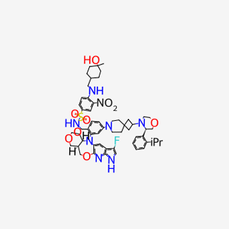 CC(C)c1ccccc1[C@@H]1COCCN1C1CC2(CCN(c3ccc(C(=O)NS(=O)(=O)c4ccc(NCC5CCC(C)(O)CC5)c([N+](=O)[O-])c4)c(N4c5cc6c(F)c[nH]c6nc5OC[C@H]5COCC[C@@H]54)c3)CC2)C1